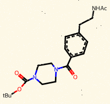 CC(=O)NCCc1ccc(C(=O)N2CCN(C(=O)OC(C)(C)C)CC2)cc1